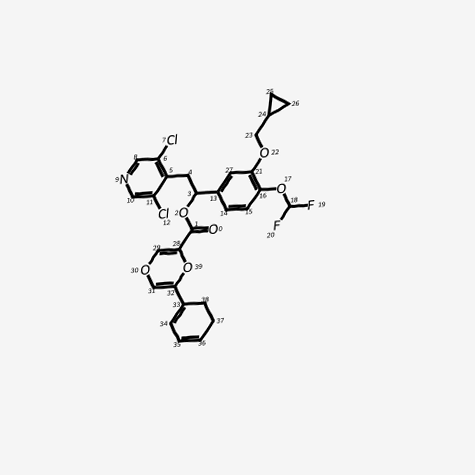 O=C(OC(Cc1c(Cl)cncc1Cl)c1ccc(OC(F)F)c(OCC2CC2)c1)C1=COC=C(C2=CC=CCC2)O1